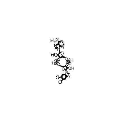 Nc1ncnc2c1ncn2C1OC2COP(=O)(S)OC3C(COP(=O)(S)OC2C1O)OC(n1cnc2cc(Cl)c(Cl)cc21)C3O